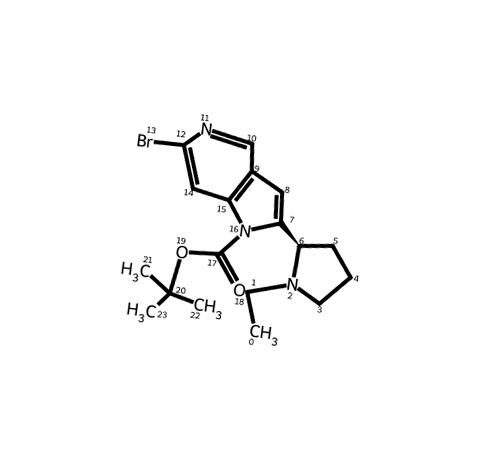 CCN1CCC[C@@H]1c1cc2cnc(Br)cc2n1C(=O)OC(C)(C)C